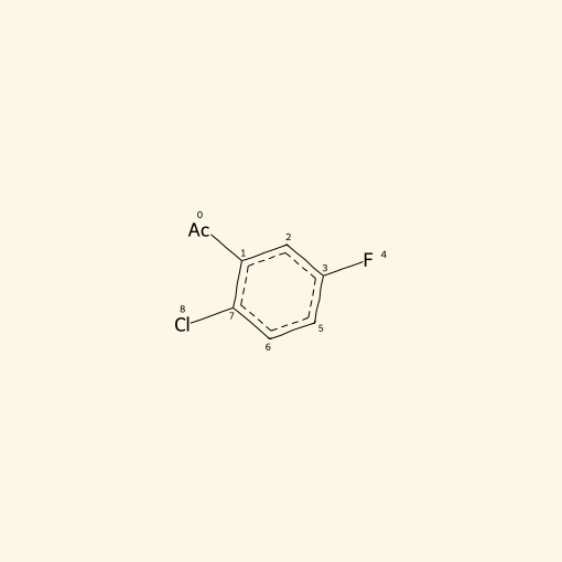 CC(=O)c1cc(F)ccc1Cl